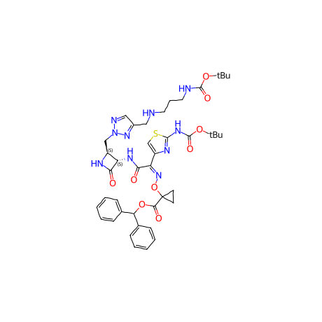 CC(C)(C)OC(=O)NCCCNCc1cnn(C[C@@H]2NC(=O)[C@H]2NC(=O)C(=NOC2(C(=O)OC(c3ccccc3)c3ccccc3)CC2)c2csc(NC(=O)OC(C)(C)C)n2)n1